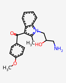 COc1ccc(C(=O)c2c(C)n(CC(O)CN)c3ccccc23)cc1